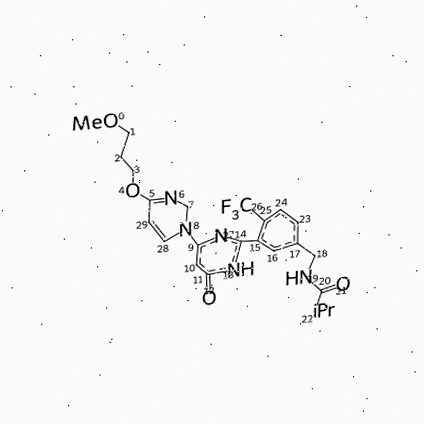 COCCCOC1=NCN(c2cc(=O)[nH]c(-c3cc(CNC(=O)C(C)C)ccc3C(F)(F)F)n2)C=C1